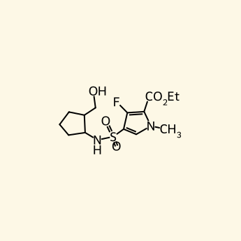 CCOC(=O)c1c(F)c(S(=O)(=O)NC2CCCC2CO)cn1C